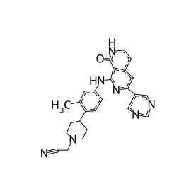 Cc1cc(Nc2nc(-c3cncnc3)cc3cc[nH]c(=O)c23)ccc1C1CCN(CC#N)CC1